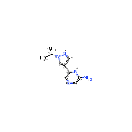 CC(C)n1cc(-c2cncc(N)n2)cn1